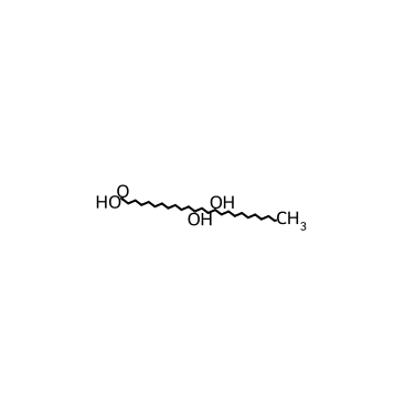 CCCCCCCCCCC(O)CCC(O)CCCCCCCCCCC(=O)O